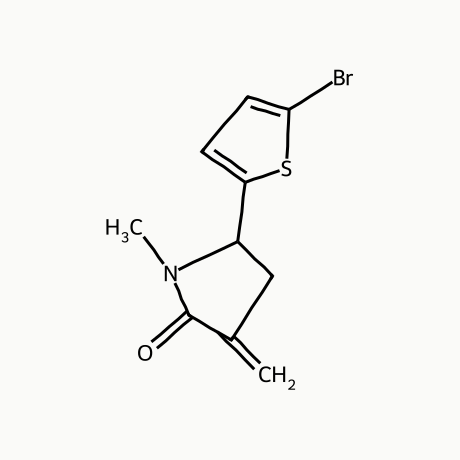 C=C1CC(c2ccc(Br)s2)N(C)C1=O